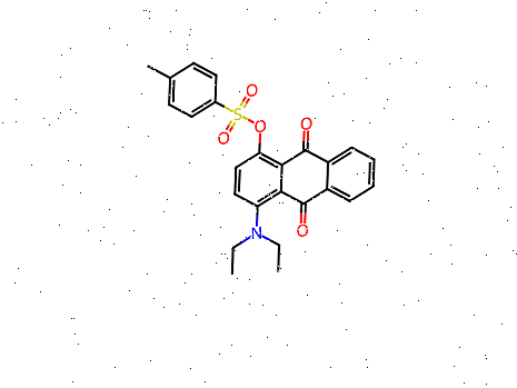 CCN(CC)c1ccc(OS(=O)(=O)c2ccc(C)cc2)c2c1C(=O)c1ccccc1C2=O